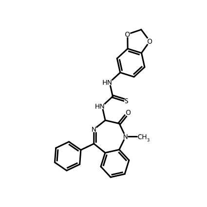 CN1C(=O)C(NC(=S)Nc2ccc3c(c2)OCO3)N=C(c2ccccc2)c2ccccc21